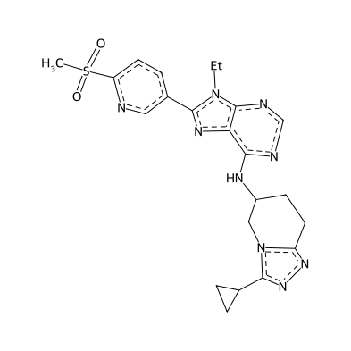 CCn1c(-c2ccc(S(C)(=O)=O)nc2)nc2c(NC3CCc4nnc(C5CC5)n4C3)ncnc21